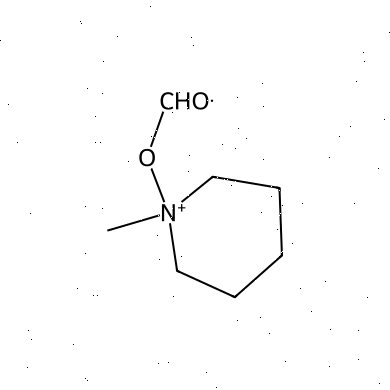 C[N+]1(O[C]=O)CCCCC1